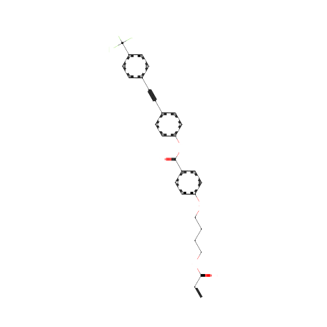 C=CC(=O)OCCCCOc1ccc(C(=O)Oc2ccc(C#Cc3ccc(C(F)(F)F)cc3)cc2)cc1